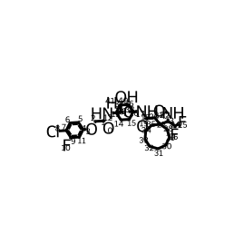 O=C(COc1ccc(Cl)c(F)c1)NC12CCC(NC(=O)C3ONC(C(F)F)C34CCCCCCCC4)(CC1)C[C@@H]2O